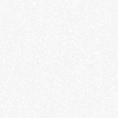 CCOC(=O)c1ccc(OC)c(OCCCCOc2ccc(C(=O)CC(C)(C)C)c(O)c2C)c1